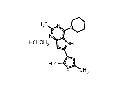 Cc1nc(N2CCCCC2)c2[nH]c(-c3cc(C)sc3C)cc2n1.Cl.O